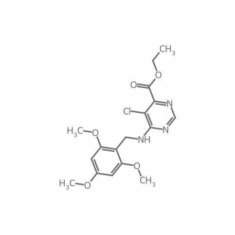 CCOC(=O)c1ncnc(NCc2c(OC)cc(OC)cc2OC)c1Cl